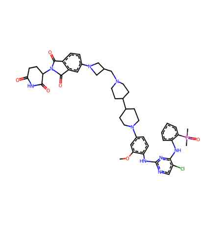 COc1cc(N2CCC(C3CCN(CC4CN(c5ccc6c(c5)C(=O)N(C5CCC(=O)NC5=O)C6=O)C4)CC3)CC2)ccc1Nc1ncc(Cl)c(Nc2ccccc2P(C)(C)=O)n1